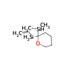 C=C[SiH2]C1([SiH](C)C)CCCCO1